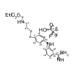 CCOC(=O)CNCCCCc1ccc(Nc2cccc(C(=N)N)c2)cc1.O=C(O)C(F)(F)F